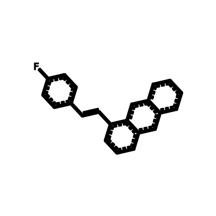 Fc1ccc(/C=C/c2cccc3cc4ccccc4cc23)cc1